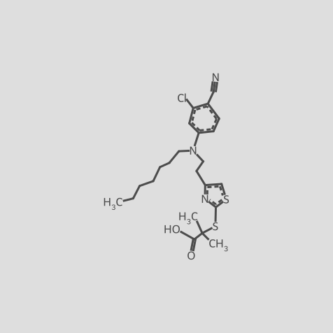 CCCCCCCN(CCc1csc(SC(C)(C)C(=O)O)n1)c1ccc(C#N)c(Cl)c1